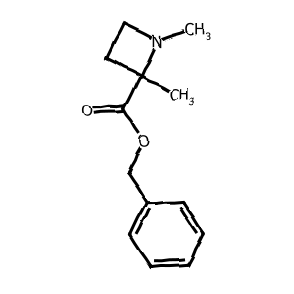 CN1CCC1(C)C(=O)OCc1ccccc1